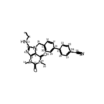 CCNc1nc2c(c(=O)n(C)c(=O)n2C)n1Cc1ccc(-c2ccc(C#N)cc2)cc1